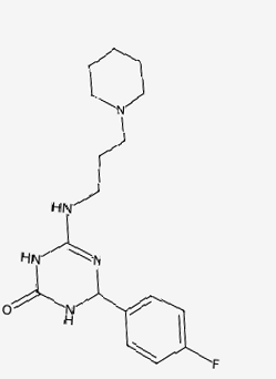 O=C1NC(NCCCN2CCCCC2)=NC(c2ccc(F)cc2)N1